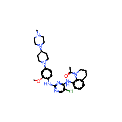 COc1cc(N2CCC(N3CCN(C)CC3)CC2)ccc1Nc1ncc(Cl)c(Nc2cccc3c2N(C(C)=O)CCC3)n1